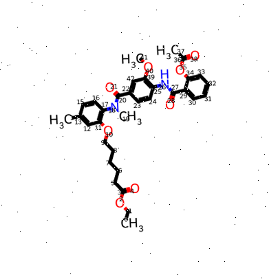 CCOC(=O)CCCCCOc1cc(C)ccc1N(C)C(=O)c1ccc(NC(=O)c2ccccc2OC(C)=O)c(OC)c1